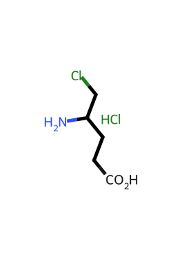 Cl.NC(CCl)CCC(=O)O